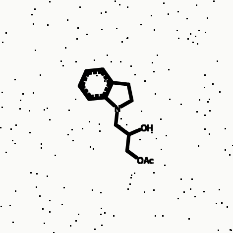 CC(=O)OCC(O)CN1CCc2ccccc21